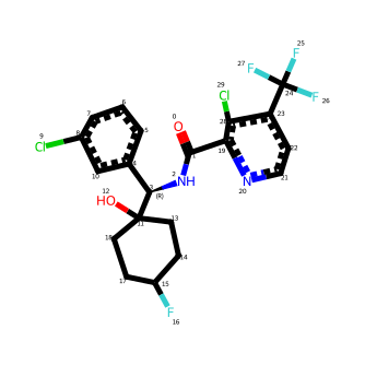 O=C(N[C@H](c1cccc(Cl)c1)C1(O)CCC(F)CC1)c1nccc(C(F)(F)F)c1Cl